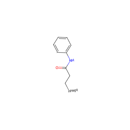 CCCCCCCCCC(=O)Nc1[c]cccc1